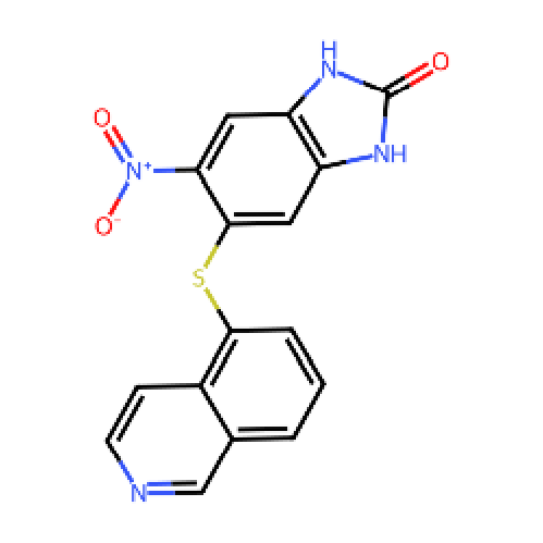 O=c1[nH]c2cc(Sc3cccc4cnccc34)c([N+](=O)[O-])cc2[nH]1